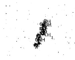 Cc1cc(-c2ccnc(NC(=O)[C@H]3C[C@@H]3c3cccnc3)c2)ccc1O[C@H]1CCN(C(=O)[C@@H](O)CO)CC1(F)F